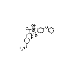 NCC1CCC(CC(NS(=O)(=O)c2ccc(Oc3ccccc3)cc2)C(=O)NO)CC1